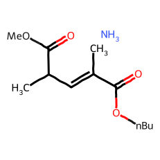 CCCCOC(=O)C(C)=CC(C)C(=O)OC.N